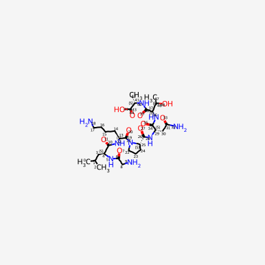 CC(C)C[C@H](NC(=O)CN)C(=O)N[C@@H](CCCCN)C(=O)N1CCC[C@H]1C(=O)N[C@@H](CC(N)=O)C(=O)N[C@H](C(=O)N[C@@H](C)C(=O)O)[C@@H](C)O